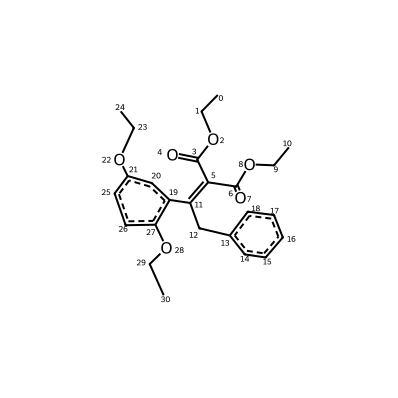 CCOC(=O)C(C(=O)OCC)=C(Cc1ccccc1)c1cc(OCC)ccc1OCC